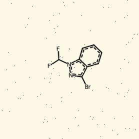 FC(F)n1nc(Br)c2ccccc21